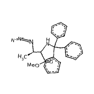 COC(=O)C(NC(c1ccccc1)(c1ccccc1)c1ccccc1)[C@@H](C)N=[N+]=[N-]